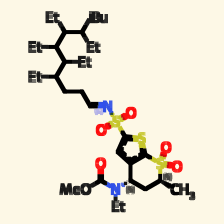 CCC(C)C(CC)C(CC)C(CC)C(CC)C(CC)CC/C=N/S(=O)(=O)c1cc2c(s1)S(=O)(=O)[C@@H](C)C[C@@H]2N(CC)C(=O)OC